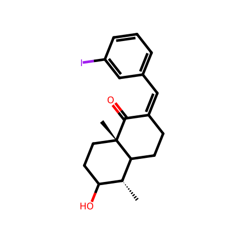 C[C@@H]1C(O)CC[C@]2(C)C(=O)/C(=C\c3cccc(I)c3)CCC12